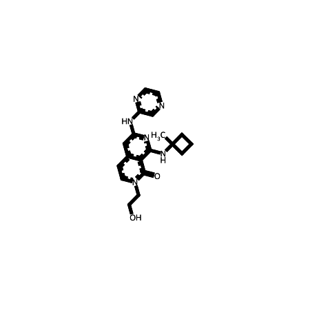 CC1(Nc2nc(Nc3cnccn3)cc3ccn(CCO)c(=O)c23)CCC1